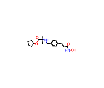 CC(C)(NCc1ccc(/C=C/C(=O)NO)cc1)C(=O)OC1CCCC1